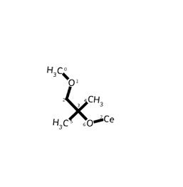 COCC(C)(C)[O][Ce]